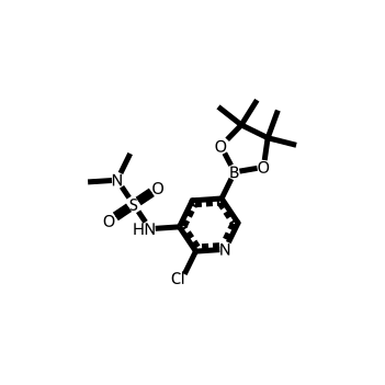 CN(C)S(=O)(=O)Nc1cc(B2OC(C)(C)C(C)(C)O2)cnc1Cl